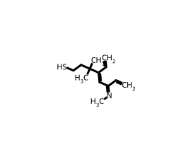 C=CC(/C=C(\C=C)C(C)(C)CCS)=N/C